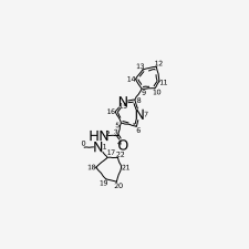 CN(NC(=O)c1cnc(-c2ccccc2)nc1)C1CCCCC1